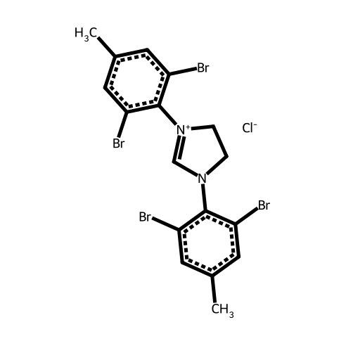 Cc1cc(Br)c(N2C=[N+](c3c(Br)cc(C)cc3Br)CC2)c(Br)c1.[Cl-]